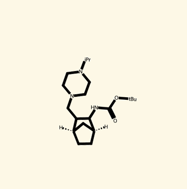 CC(C)N1CCN(CC2C(NC(=O)OC(C)(C)C)[C@H]3CC[C@@H]2C3)CC1